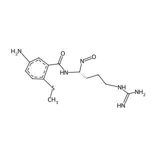 CSc1ccc(N)cc1C(=O)N[C@@H](CCCNC(=N)N)N=O